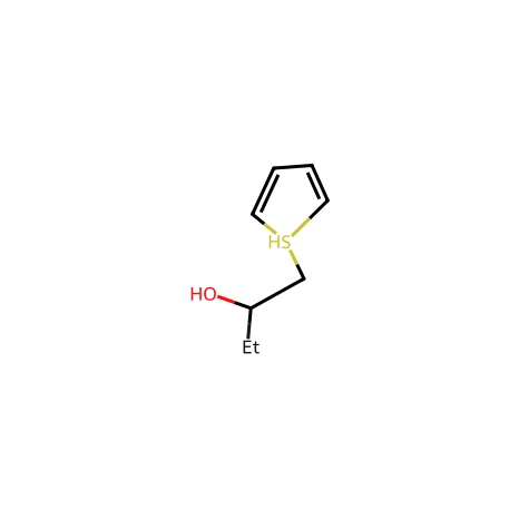 CCC(O)C[SH]1C=CC=C1